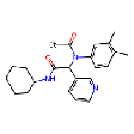 CCC(=O)N(c1ccc(C)c(C)c1)C(C(=O)NC1CCCCC1)c1cccnc1